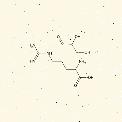 N=C(N)NCCCC(N)C(=O)O.O=CC(O)CO